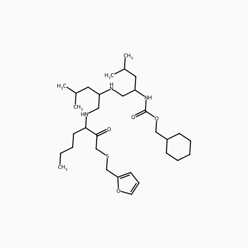 CCCCC(NCC(CC(C)C)NCC(CC(C)C)NC(=O)OCC1CCCCC1)C(=O)CSCc1ccco1